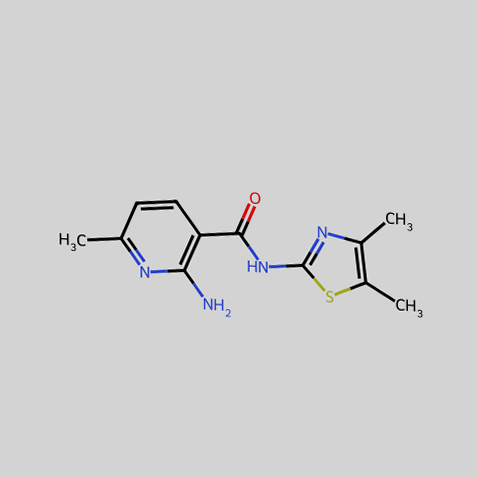 Cc1ccc(C(=O)Nc2nc(C)c(C)s2)c(N)n1